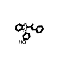 C/C(=C\c1ccccc1)c1nc2ccccc2n1-c1ccccc1.Cl